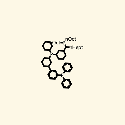 CCCCCCCCP(CCCCCCCC)C(CCCCCCC)C1CCCC(P(C2CCCCC2)C2CCCC(c3cccc(P(c4ccccc4)c4ccccc4)c3)C2)C1